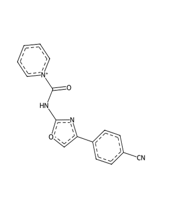 N#Cc1ccc(-c2coc(NC(=O)[n+]3ccccc3)n2)cc1